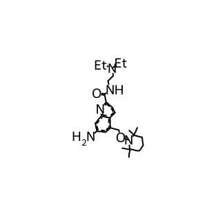 CCN(CC)CCNC(=O)c1ccc2c(CON3C(C)(C)CCCC3(C)C)cc(N)cc2n1